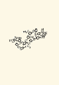 Cc1cccc(COc2ccccc2CN(Cc2ccccc2OCc2cc(C)cc(-c3ccc(COc4ccccc4CN(Cc4ccccc4OCc4cccc(C)c4)c4ccc5[nH]c(=O)c(C(=O)O)cc5c4)cc3C)c2)c2ccc3c(c2)C=C(P(=O)(O)O)C(O)N3)c1